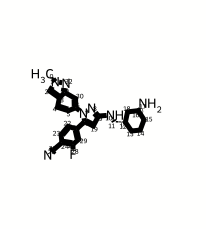 Cn1cc2ccc(-n3nc(NC[C@H]4CCC[C@H](N)C4)cc3-c3ccc(C#N)c(F)c3)cc2n1